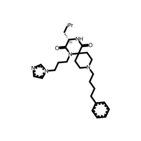 CC(C)C[C@@H]1NC(=O)C2(CCN(CCCCc3ccccc3)CC2)N(CCCn2ccnc2)C1=O